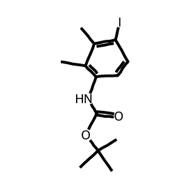 Cc1c(I)ccc(NC(=O)OC(C)(C)C)c1C